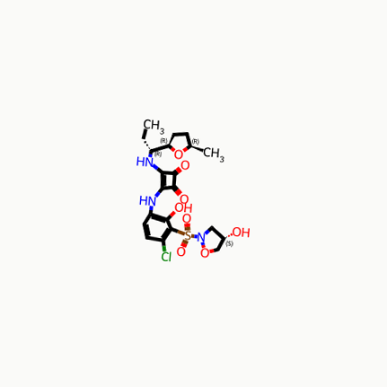 CC[C@@H](Nc1c(Nc2ccc(Cl)c(S(=O)(=O)N3C[C@H](O)CO3)c2O)c(=O)c1=O)[C@H]1CC[C@@H](C)O1